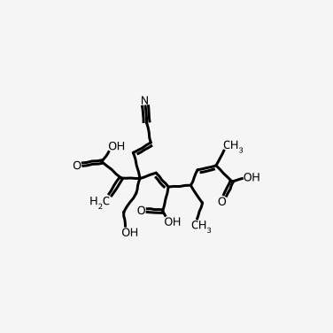 C=C(C(=O)O)C(C=CC#N)(C=C(C(=O)O)C(C=C(C)C(=O)O)CC)CCO